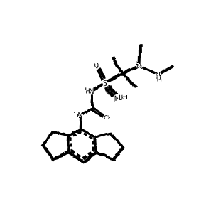 CNN(C)C(C)(C)S(=N)(=O)NC(=O)Nc1c2c(cc3c1CCC3)CCC2